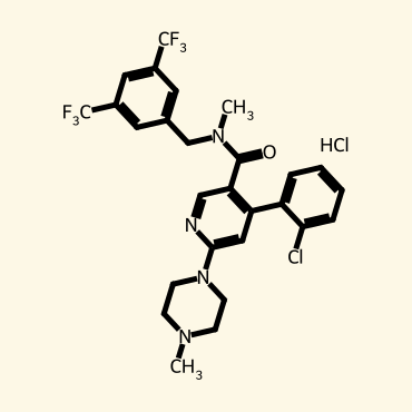 CN1CCN(c2cc(-c3ccccc3Cl)c(C(=O)N(C)Cc3cc(C(F)(F)F)cc(C(F)(F)F)c3)cn2)CC1.Cl